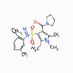 Cc1ccc(C)c(NS(=O)(=O)c2c(C(=O)N3CCCC3)c(C)n(C)c2C)c1